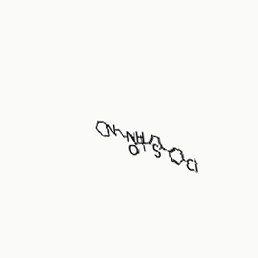 CC(C)(C(=O)NCCN1CCCCC1)c1ccc(-c2ccc(Cl)cc2)s1